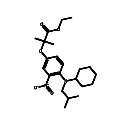 CCOC(=O)C(C)(C)Oc1ccc(N(CC(C)C)C2CCCCC2)c([N+](=O)[O-])c1